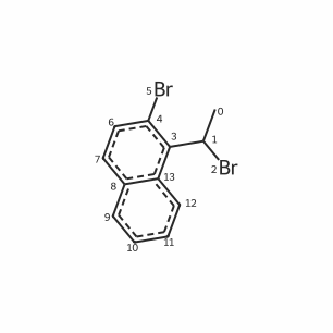 CC(Br)c1c(Br)ccc2ccccc12